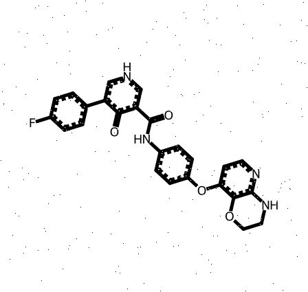 O=C(Nc1ccc(Oc2ccnc3c2OCCN3)cc1)c1c[nH]cc(-c2ccc(F)cc2)c1=O